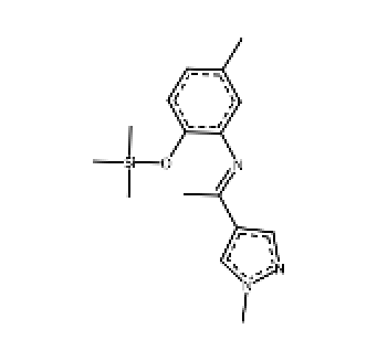 CC(=Nc1cc(C)ccc1O[Si](C)(C)C)c1cnn(C)c1